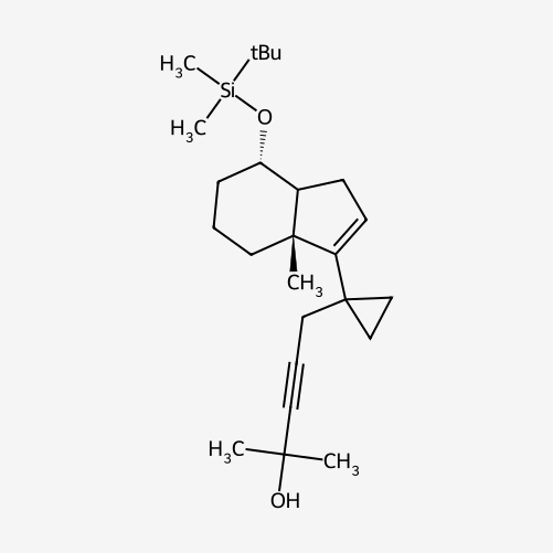 CC(C)(O)C#CCC1(C2=CCC3[C@@H](O[Si](C)(C)C(C)(C)C)CCC[C@@]23C)CC1